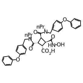 CCCN(Cc1ccc(Oc2ccccc2)cc1)C(=O)[C@H]1[C@@H](C(=O)O)[C@H](C(=O)NO)[C@@H]1C(=O)N(CCC)Cc1ccc(Oc2ccccc2)cc1